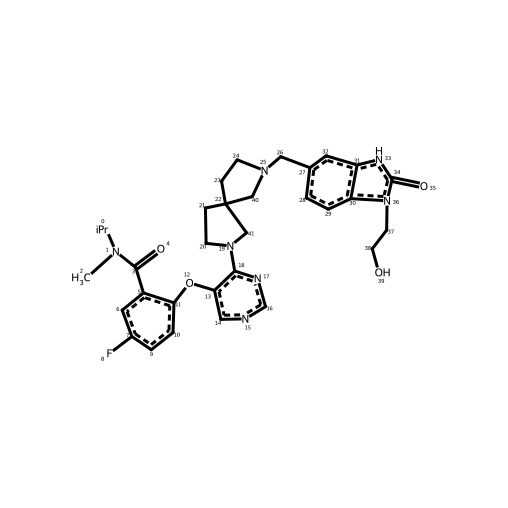 CC(C)N(C)C(=O)c1cc(F)ccc1Oc1cncnc1N1CCC2(CCN(Cc3ccc4c(c3)[nH]c(=O)n4CCO)C2)C1